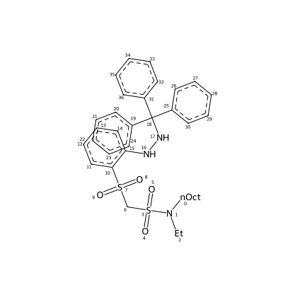 CCCCCCCCN(CC)S(=O)(=O)CS(=O)(=O)c1ccccc1NNC(c1ccccc1)(c1ccccc1)c1ccccc1